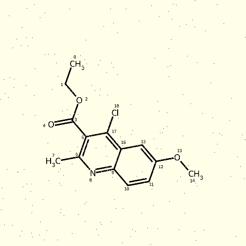 CCOC(=O)c1c(C)nc2ccc(OC)cc2c1Cl